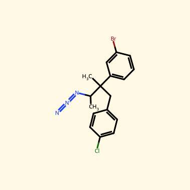 CC(N=[N+]=[N-])C(C)(Cc1ccc(Cl)cc1)c1cccc(Br)c1